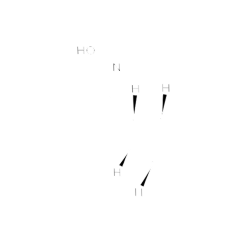 O/N=C1\CCC[C@@H]2[C@H]1[C@@H]1C=C[C@H]2C1